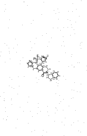 Cc1nccn1Cc1cc2c(c(-c3cn(C)nc3C(F)(F)F)c1)CCN([C@H]1CCc3ccccc31)C2=O